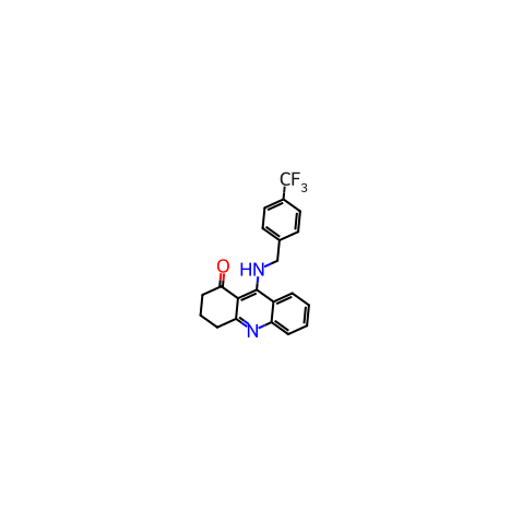 O=C1CCCc2nc3ccccc3c(NCc3ccc(C(F)(F)F)cc3)c21